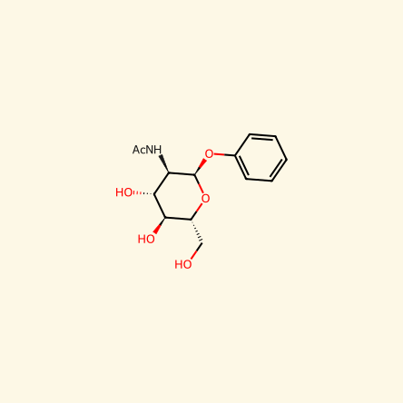 CC(=O)N[C@H]1[C@@H](Oc2ccccc2)O[C@H](CO)[C@@H](O)[C@@H]1O